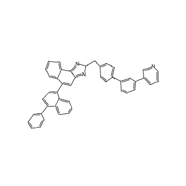 c1ccc(-c2ccc(-c3cc4c(c5ccccc35)=NC(Cc3ccc(-c5cccc(-c6cccnc6)c5)cc3)N=4)c3ccccc23)cc1